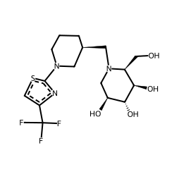 OC[C@H]1[C@@H](O)[C@H](O)[C@@H](O)CN1C[C@@H]1CCCN(c2nc(C(F)(F)F)cs2)C1